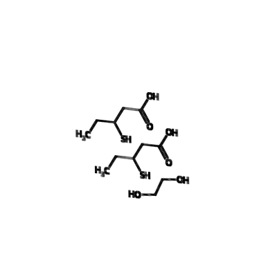 CCC(S)CC(=O)O.CCC(S)CC(=O)O.OCCO